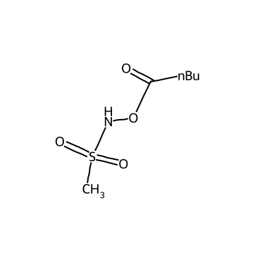 CCCCC(=O)ONS(C)(=O)=O